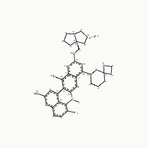 CCc1c(F)ccc2cc(O)cc(-c3c(F)cc4c(N5CCCC6(CCO6)C5)nc(OC[C@@]56CCCN5C[C@H](F)C6)nc4c3F)c12